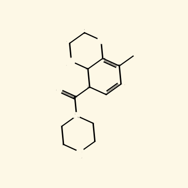 CC1=C2OCCOC2C(C(=O)N2CCOCC2)C=C1